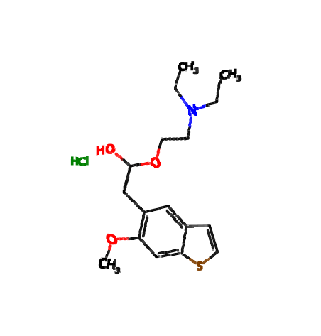 CCN(CC)CCOC(O)Cc1cc2ccsc2cc1OC.Cl